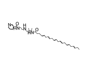 CCC=CCC=CCC=CCC=CCC=CCC=CCCC(=O)NC(C)C(C)(C)CNCCNC(=O)c1cccnc1